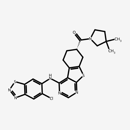 CC1(C)CCN(C(=O)[C@H]2CCc3c(sc4ncnc(Nc5cc6snnc6cc5Cl)c34)C2)C1